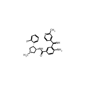 Cc1cc(C(=N)c2cc(C(=O)N[C@H]3CN(C)C[C@@H]3c3ccccc3F)ccc2N)ccn1